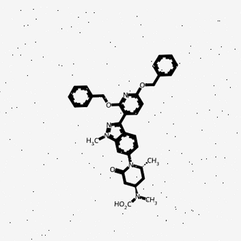 C[C@@H]1C[C@@H](N(C)C(=O)O)CC(=O)N1c1ccc2c(-c3ccc(OCc4ccccc4)nc3OCc3ccccc3)nn(C)c2c1